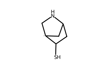 SC1CC2C[C]1CN2